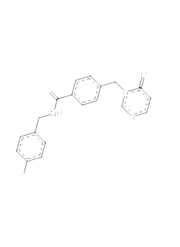 O=C(NCc1ccc(F)cc1)c1ccc(Cn2cnccc2=O)cc1